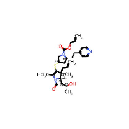 C=CCOC(=O)N1C[C@@H](SC2=C(C(=O)O)N3C(=O)[C@H]([C@@H](C)O)[C@H]3[C@@]2(C)CC=C)C[C@H]1CCc1ccncc1